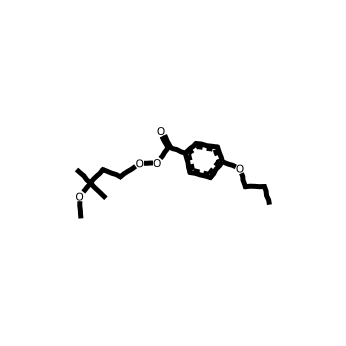 CCCOc1ccc(C(=O)OO[CH]CC(C)(C)OC)cc1